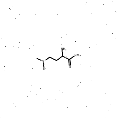 CNC(=O)C(N)CC[S+](C)[O-]